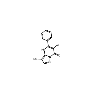 N#Cc1cnn2c(=O)c(Cl)c(-c3ccccc3)[nH]c12